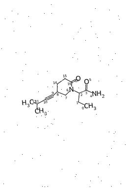 CCC(C(N)=O)N1CC(C#CC(C)C)CCC1=O